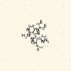 Cn1ccc(-c2c(-c3nn(C(CF)CF)c4ccnc(N)c34)noc2C2CC2)n1